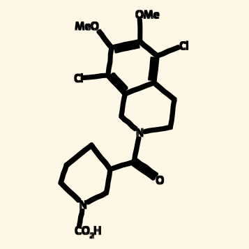 COc1c(Cl)c2c(c(Cl)c1OC)CN(C(=O)C1CCCN(C(=O)O)C1)CC2